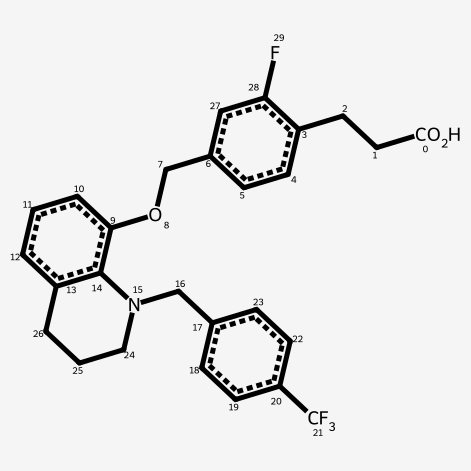 O=C(O)CCc1ccc(COc2cccc3c2N(Cc2ccc(C(F)(F)F)cc2)CCC3)cc1F